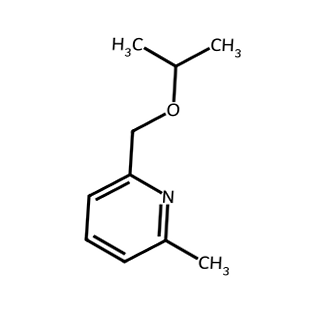 Cc1cccc(COC(C)C)n1